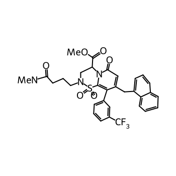 CNC(=O)CCCN1CC(C(=O)OC)n2c(c(-c3cccc(C(F)(F)F)c3)c(Cc3cccc4ccccc34)cc2=O)S1(=O)=O